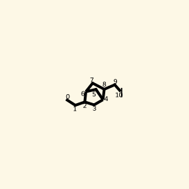 CCC1CC2CC1CC2CI